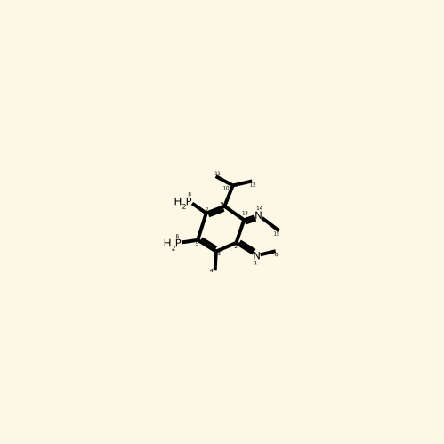 C/N=C1/C(C)=C(P)C(P)=C(C(C)C)/C1=N/C